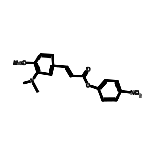 COc1ccc(/C=C/C(=O)Oc2ccc([N+](=O)[O-])cc2)cc1N(C)C